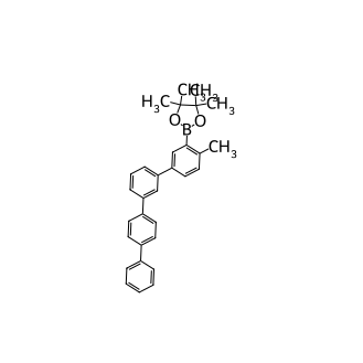 Cc1ccc(-c2cccc(-c3ccc(-c4ccccc4)cc3)c2)cc1B1OC(C)(C)C(C)(C)O1